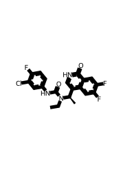 CCN(C(=O)Nc1ccc(F)c(Cl)c1)[C@H](C)c1c[nH]c(=O)c2cc(F)c(F)cc12